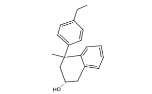 CCc1ccc(C2(C)C[C@@H](O)Cc3ccccc32)cc1